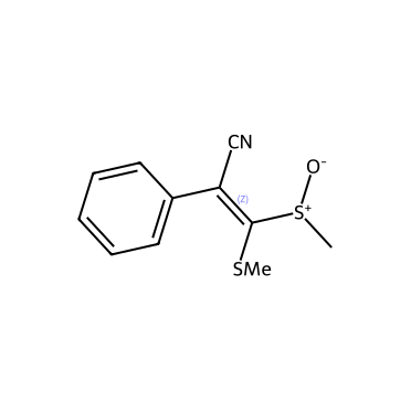 CS/C(=C(/C#N)c1ccccc1)[S+](C)[O-]